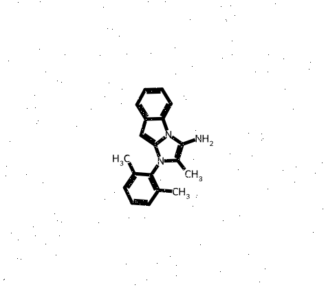 Cc1cccc(C)c1-n1c(C)c(N)n2c3ccccc3cc12